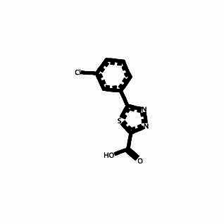 O=C(O)c1nnc(-c2cccc(Cl)c2)s1